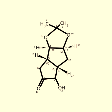 CC1(C)O[C@@H]2[C@H]3CC(=O)C(O)[C@H]3C[C@@H]2O1